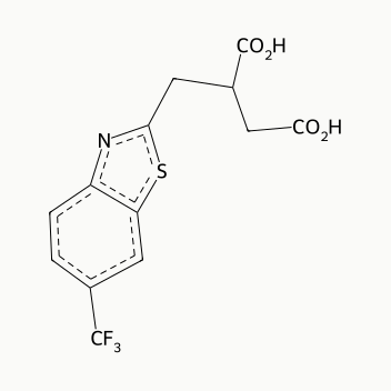 O=C(O)CC(Cc1nc2ccc(C(F)(F)F)cc2s1)C(=O)O